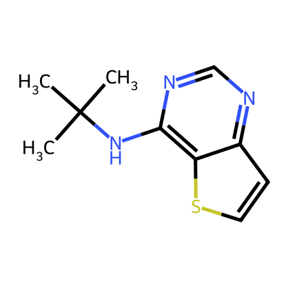 CC(C)(C)Nc1ncnc2ccsc12